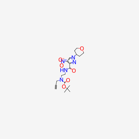 C#CCN(CCNC(=O)c1nn(C2CCOCC2)cc1[N+](=O)[O-])C(=O)OC(C)(C)C